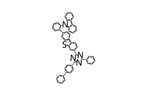 c1ccc(-c2ccc(-c3nc(-c4ccccc4)nc(-c4ccc5c(c4)sc4cc(-c6ccccc6-n6c7ccccc7c7ccccc76)ccc45)n3)cc2)cc1